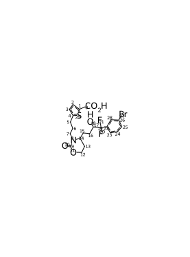 O=C(O)c1ccc(CCCN2C(=O)OCCC2CC[C@@H](O)C(F)(F)c2cccc(Br)c2)s1